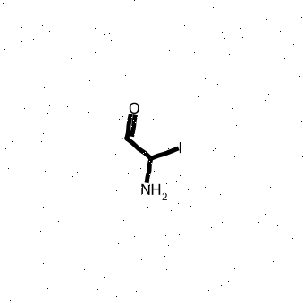 NC(I)[C]=O